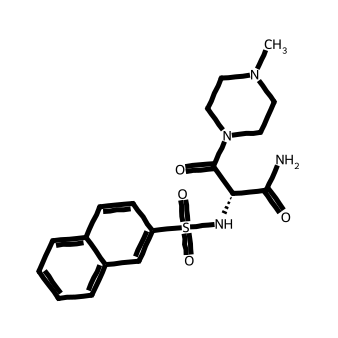 CN1CCN(C(=O)[C@@H](NS(=O)(=O)c2ccc3ccccc3c2)C(N)=O)CC1